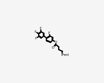 CCCC(C)CCCC(=O)Oc1ccc(-c2cc(F)c(F)c(F)c2)c(F)c1